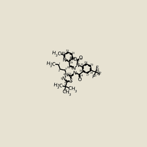 CCCCn1nc(C(C)(C)C)sc1=NC(=O)c1cc(C(F)(F)F)ccc1N(N=Cc1cccc(C)n1)C(=O)O